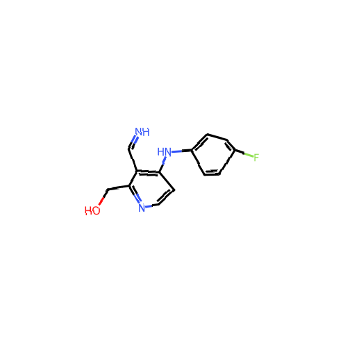 N=Cc1c(Nc2ccc(F)cc2)ccnc1CO